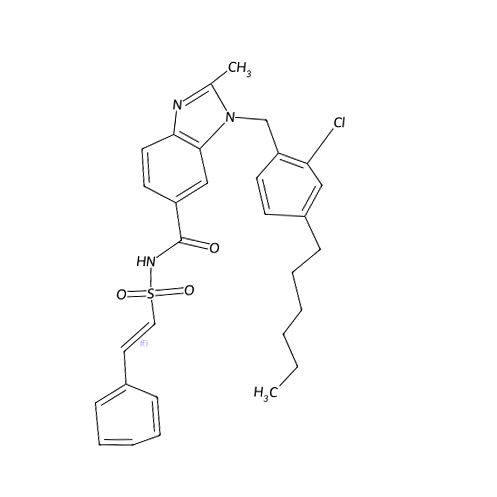 CCCCCCc1ccc(Cn2c(C)nc3ccc(C(=O)NS(=O)(=O)/C=C/c4ccccc4)cc32)c(Cl)c1